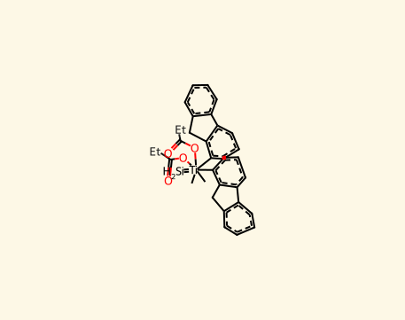 CCC(=O)[O][Ti]([CH3])([CH3])(=[SiH2])([O]C(=O)CC)([c]1cccc2c1Cc1ccccc1-2)[c]1cccc2c1Cc1ccccc1-2